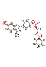 CCC(CC(C)c1ccc(OC(C)OCCOc2ccccc2)cc1)c1ccc(O)cc1